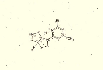 CCc1cc(C)cc(N2CC[C@H]3CNC[C@H]32)n1